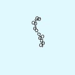 C=CC(=O)Oc1ccc(OC(=O)c2ccc(-c3ccc(OCCOC(=O)C(=C)CC(=O)OC)cc3)cc2)cc1